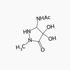 CC(=O)NC1NN(C)C(=O)C1(O)O